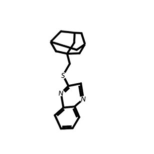 c1ccc2nc(SCC34CC5CC(CC(C5)C3)C4)cnc2c1